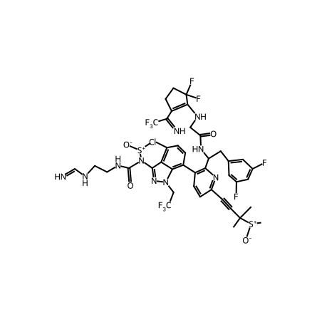 C[S+]([O-])N(C(=O)NCCNC=N)c1nn(CC(F)(F)F)c2c(-c3ccc(C#CC(C)(C)[S+](C)[O-])nc3C(Cc3cc(F)cc(F)c3)NC(=O)CNC3=C(C(=N)C(F)(F)F)CCC3(F)F)ccc(Cl)c12